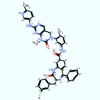 Cc1ccc(Nc2ncc3c(n2)N(C)C(=O)N(c2cc(NC(=O)C4C=C5NC(=O)[C@H](Cc6cccc(F)c6)N=C(c6ccccc6)C5=CC4)ccc2C)C3)cn1